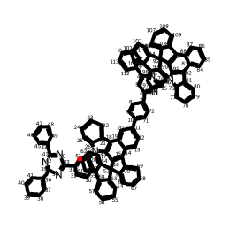 c1ccc(-c2cc(-c3ccc(-c4ccc5c6c(c7c(c5c4)c4ccccc4n7-c4cccc(-c5nc(-c7ccccc7)nc(-c7ccccc7)n5)c4)C4(c5ccccc5-c5ccccc54)c4ccccc4-6)cc3)nc(-n3c4ccccc4c4c5ccccc5c5c(c43)C3(c4ccccc4-c4ccccc43)c3ccccc3-5)n2)cc1